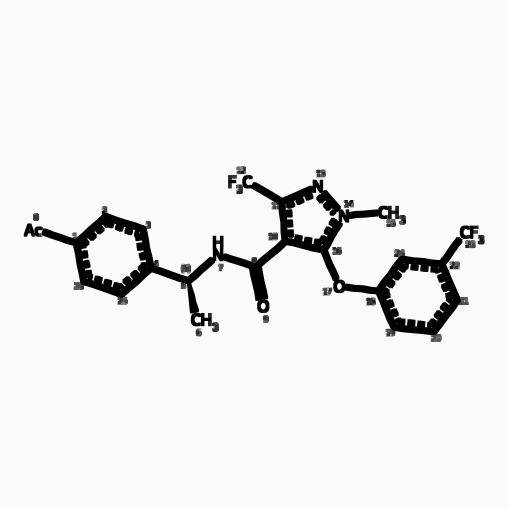 CC(=O)c1ccc([C@H](C)NC(=O)c2c(C(F)(F)F)nn(C)c2Oc2cccc(C(F)(F)F)c2)cc1